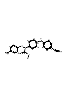 COC(=O)C(Oc1ccc(Cl)cc1)c1ccc(Oc2ccc(C#N)cc2)cc1